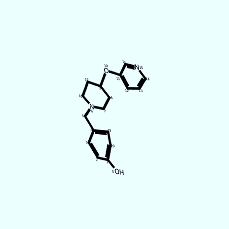 Oc1ccc(CN2CCC(Oc3cccnc3)CC2)cc1